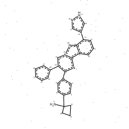 NC1(c2ccc(-c3nc4c5cccc(-c6cn[nH]c6)c5nn4cc3-c3ccccc3)cc2)CCC1